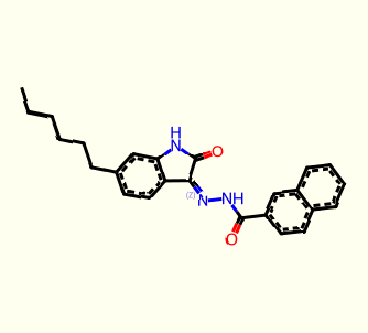 CCCCCCc1ccc2c(c1)NC(=O)/C2=N\NC(=O)c1ccc2ccccc2c1